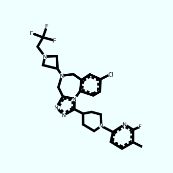 Cc1ccc(N2CCC(c3nnc4n3-c3ccc(Cl)cc3CN(C3CN(CC(F)(F)F)C3)C4)CC2)nc1F